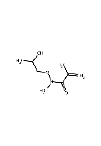 C=C(C)C(=O)N(C)OCC(C)C